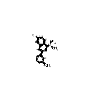 Cc1cccc(-c2cc(N(C)C)c3ccc(F)cc3c2)c1